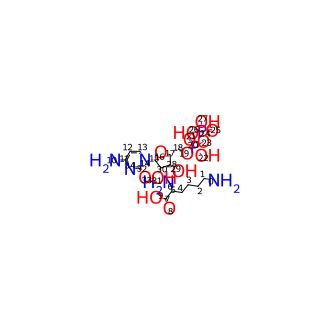 NCCCCC(N)C(=O)O.Nc1ccn([C@@H]2O[C@H](COP(=O)(O)OP(=O)(O)O)[C@@H](O)[C@H]2O)c(=O)n1